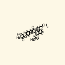 CCCCCNC(=O)[C@H](Cc1ccc(OC(C(=O)O)C(=O)O)cc1)NC(=O)N(CC(=O)O)Cc1ccccc1